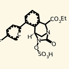 CCOC(=O)C1c2cccc(-c3ccc(F)cc3)c2[C@H]2CN1C(=O)N2OS(=O)(=O)O